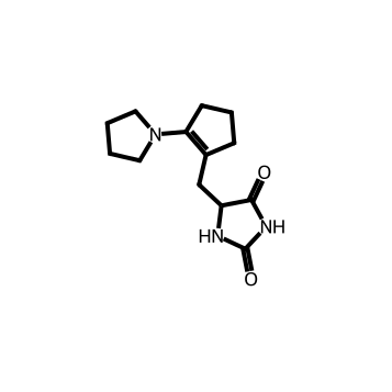 O=C1NC(=O)C(CC2=C(N3CCCC3)CCC2)N1